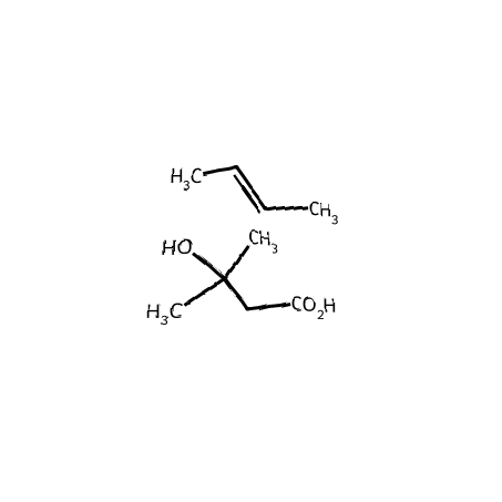 CC(C)(O)CC(=O)O.CC=CC